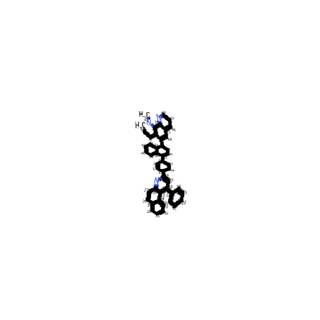 C=Nc1c(/C=C\C)c(-c2ccc(-c3ccc(-c4cc(-c5ccccc5)c5c(ccc6ccccc65)n4)cc3)c3ccccc23)cc2cccnc12